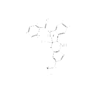 CC1(C)Cc2cc(OC(=O)O)ccc2NC1c1ccccc1NC(=O)c1ccccn1